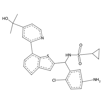 CC(C)(O)c1ccnc(-c2cccc3cc(C(NS(=O)(=O)C4CC4)c4cc(N)ccc4Cl)sc23)c1